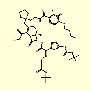 BOC(=O)C1=C(C[N+]2(CCNC(=O)c3[nH]cc(OCCCC)c(=O)c3Cl)CCCC2)CS[C@@H]2[C@H](NC(=O)/C(=N\OC(C)(C)C(=O)OC(C)(C)C)c3csc(NC(=O)OC(C)(C)C)n3)C(=O)N12